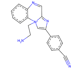 N#Cc1ccc(C2=C[N+]3(CCN)C(=N2)C=Nc2ccccc23)cc1